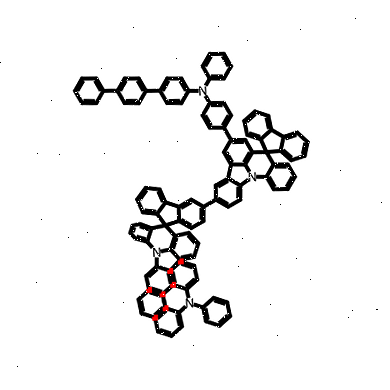 c1ccc(-c2ccc(-c3ccc(N(c4ccccc4)c4ccc(-c5cc6c7c(c5)c5cc(-c8ccc9c(c8)-c8ccccc8C98c9ccccc9-n9c%10ccc(-c%11ccccc%11N(c%11ccccc%11)c%11ccccc%11-c%11ccccc%11)cc%10c%10cccc8c%109)ccc5n7-c5ccccc5C65c6ccccc6-c6ccccc65)cc4)cc3)cc2)cc1